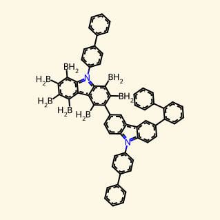 Bc1c(B)c(B)c2c(c1B)c1c(B)c(-c3ccc4c(c3)c3cc(-c5ccccc5-c5ccccc5)ccc3n4-c3ccc(-c4ccccc4)cc3)c(B)c(B)c1n2-c1ccc(-c2ccccc2)cc1